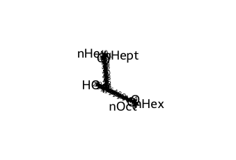 CCCCCCCCC(CCCCCC)C(=O)OCCCCCCCCCCCCN(CCCCO)CCCCCCCCCCCCOC(=O)C(CCCCCC)CCCCCCC